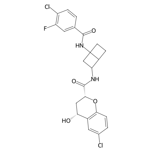 O=C(NC12CCC1C(NC(=O)[C@H]1C[C@@H](O)c3cc(Cl)ccc3O1)C2)c1ccc(Cl)c(F)c1